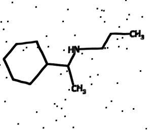 CC[CH]NC(C)C1CCCCC1